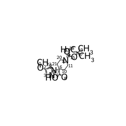 COc1cnn(C2(C(=O)O)CCN(C(=O)OC(C)(C)C)CC2)c1